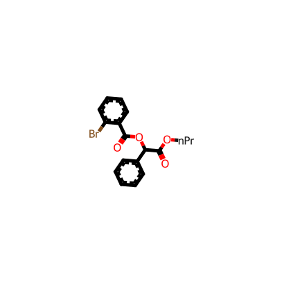 CCCOC(=O)C(OC(=O)c1ccccc1Br)c1ccccc1